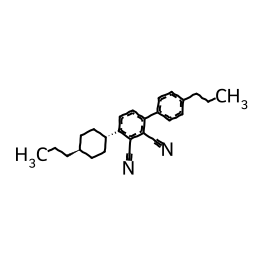 CCCc1ccc(-c2ccc([C@H]3CC[C@H](CCC)CC3)c(C#N)c2C#N)cc1